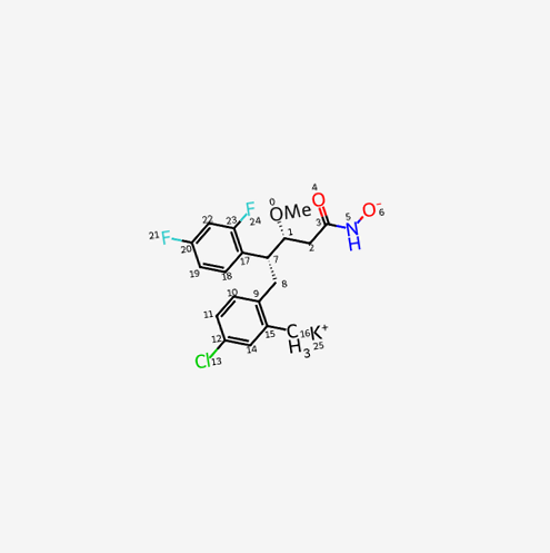 CO[C@H](CC(=O)N[O-])[C@H](Cc1ccc(Cl)cc1C)c1ccc(F)cc1F.[K+]